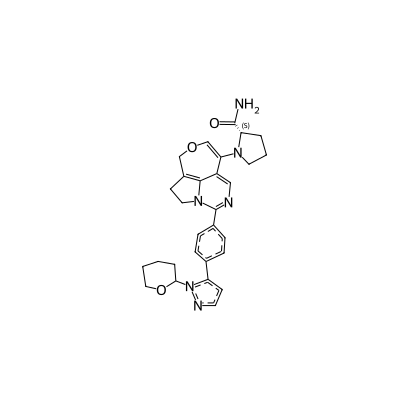 NC(=O)[C@@H]1CCCN1C1=COCC2=C3C1=CN=C(c1ccc(-c4ccnn4C4CCCCO4)cc1)N3CC2